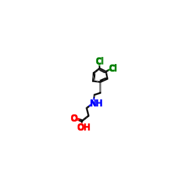 O=C(O)CCNCCc1ccc(Cl)c(Cl)c1